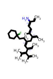 C=C\C(N)=C/C=C(C)/C(=C/C)C/C(=C\C(=C/C)C(C(=C)C)=C(C)C)CCC1(F)CCCCC1